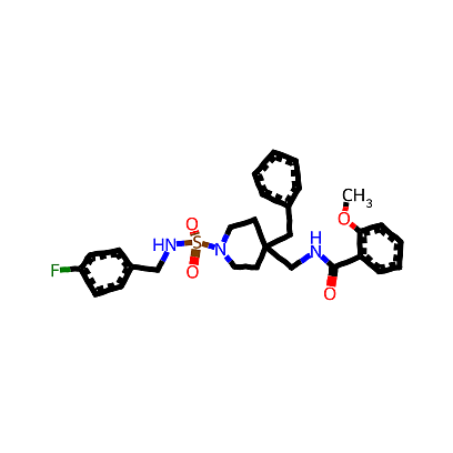 COc1ccccc1C(=O)NCC1(Cc2ccccc2)CCN(S(=O)(=O)NCc2ccc(F)cc2)CC1